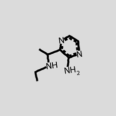 CCNC(C)c1nccnc1N